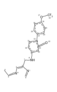 C=N/C(=C\N=C/C)CNc1ccn(-c2ccc(OC(F)(F)F)cc2)c(=O)c1